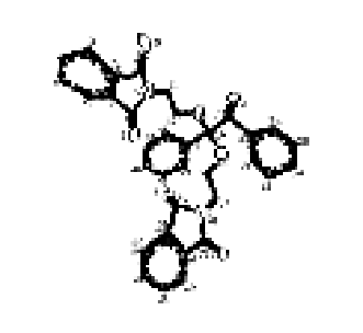 O=C1c2ccccc2C(=O)N1CCOC(OCCN1C(=O)c2ccccc2C1=O)(C(=O)c1ccccc1)c1ccccc1